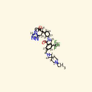 CN1CCC2(CC1)CN(Cc1cc3c(c(C(F)(F)F)c1)CN(c1cccc(C4(Cc5nncn5C)COC4)c1)C3=O)C2